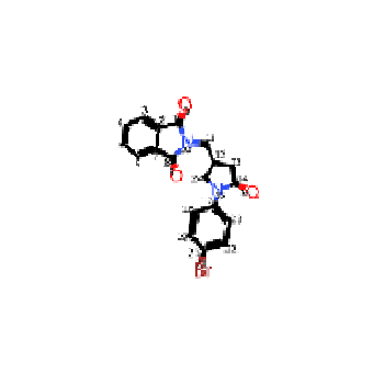 O=C1c2ccccc2C(=O)N1CC1CC(=O)N(c2ccc(Br)cc2)C1